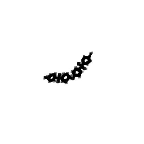 O=S(=O)(c1ccc(F)cc1)c1ccc(Oc2ccc(S(=O)(=O)c3ccc(F)cc3)cc2)cc1